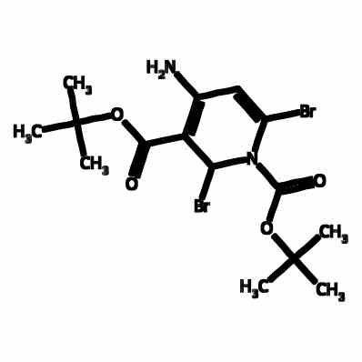 CC(C)(C)OC(=O)C1=C(N)C=C(Br)N(C(=O)OC(C)(C)C)C1Br